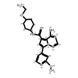 CCOC1CCC(NC(=O)c2cc(-c3ccnc(OC)c3)n3ncnc(N)c23)CC1